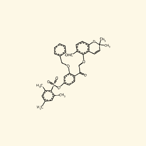 Cc1cc(C)c(S(=O)(=O)Oc2ccc(C(=O)COc3c(C=O)ccc4c3C=CC(C)(C)O4)c(OCc3ccccc3)c2)c(C)c1